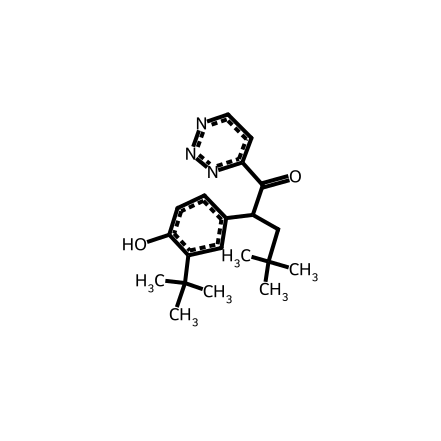 CC(C)(C)CC(C(=O)c1ccnnn1)c1ccc(O)c(C(C)(C)C)c1